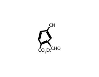 CCOC(=O)c1ccc(C#N)cc1C=O